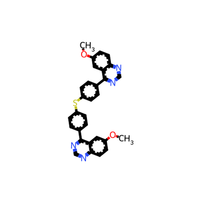 COc1ccc2ncnc(-c3ccc(Sc4ccc(-c5ncnc6ccc(OC)cc56)cc4)cc3)c2c1